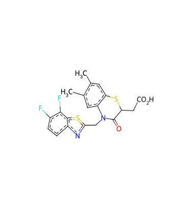 Cc1cc2c(cc1C)N(Cc1nc3ccc(F)c(F)c3s1)C(=O)C(CC(=O)O)S2